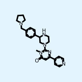 Cn1c(N2CCNC(c3ccc(CN4CCCC4)cc3)C2)nc(-c2ccncc2)cc1=O